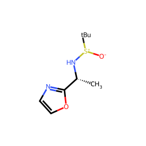 C[C@@H](N[S+]([O-])C(C)(C)C)c1ncco1